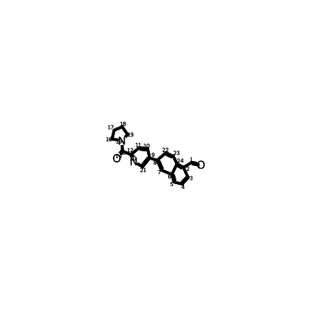 O=Cc1cccc2cc(-c3ccc(C(=O)N4CCCC4)nc3)ccc12